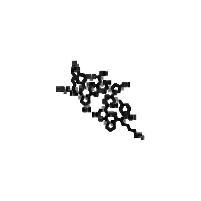 C[C@@H](O)[C@H](NC(=O)[C@@H]1C[C@@H](O)CN1C(=O)[C@H](Cc1ccc(O)cc1)NC(=O)[C@H](CO)NC(=O)[C@@H]1CCCN1C(=O)[C@@H](N)CCCCN)C(=O)N[C@@H](Cc1ccc(O)cc1)C(=O)N1C[C@H](O)C[C@H]1C(=O)N[C@@H](CCCCN)C(=O)O